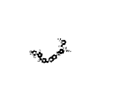 COc1cc2nn(C3CCC4(CC3)CCN(CC3CCN(C(=O)c5ccc(Cl)c(N6CCC(=O)NC6=O)c5)CC3)CC4)cc2cc1NC(=O)c1cccc(C(F)(F)F)n1